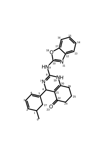 CC1C=CC=C(C2N=C(Nc3nc4ccccc4o3)NC3=C2C(=O)CCC3)C1